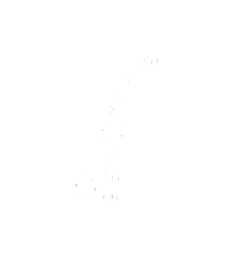 C#CCCCCOc1ccc(C=CC(=O)c2ccccc2O)cc1